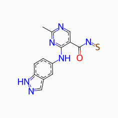 Cc1ncc(C(=O)N=S)c(Nc2ccc3[nH]ncc3c2)n1